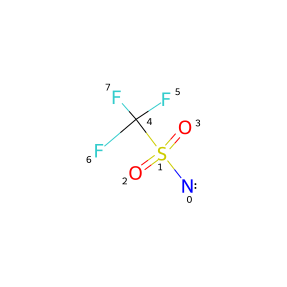 [N]S(=O)(=O)C(F)(F)F